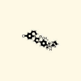 Cc1cc(S(=O)(=O)Nc2nccs2)ccc1N1CCC(N2CCCc3cc(Cl)ccc32)C1=O